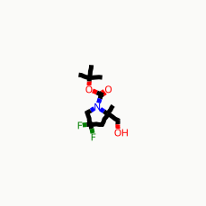 CC(C)(C)OC(=O)N1CC(F)(F)CC1(C)CO